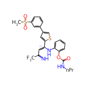 CCCNC(=O)Oc1ccccc1N/C(=C\C(=N)C(F)(F)F)c1cc(-c2cccc(S(C)(=O)=O)c2)cs1